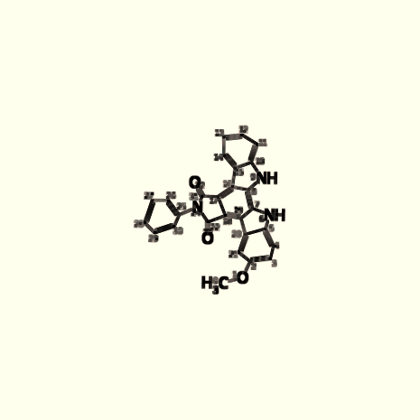 COc1ccc2[nH]c3c4[nH]c5ccccc5c4c4c(c3c2c1)C(=O)N(c1ccccc1)C4=O